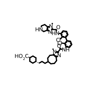 Cn1c(C(=O)Nc2cccc(-c3cccc(NC(=O)c4nc5c(n4C)CCNC5)c3Cl)c2Cl)nc2c1CCC(CCC[C@H]1CC[C@H](C(=O)O)CC1)CCC2